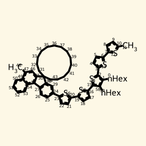 CCCCCCc1c(-c2ccc(-c3ccc(C)s3)s2)sc(-c2ccc(-c3ccc(-c4ccc5c(c4)C4(CCCCCCCCCCCCCC4)c4cc(C)c6ccccc6c4-5)s3)s2)c1CCCCCC